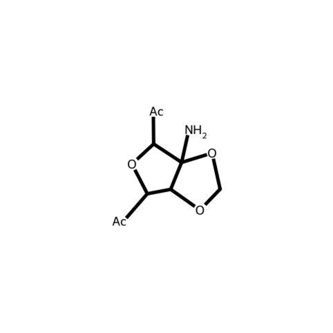 CC(=O)C1OC(C(C)=O)C2(N)OCOC12